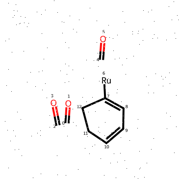 C=O.C=O.C=O.[Ru][C]1=CC=CCC1